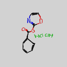 Cl.Cl.O=C(Oc1ncco1)c1ccccc1